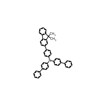 CC1(C)c2ccccc2-c2ccc(-c3ccc(N(c4ccc(-c5ccccc5)cc4)c4ccc(-c5ccccc5)cc4)cc3)cc21